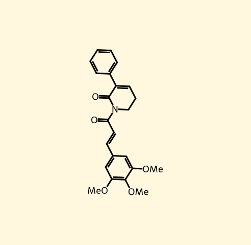 COc1cc(C=CC(=O)N2CCC=C(c3ccccc3)C2=O)cc(OC)c1OC